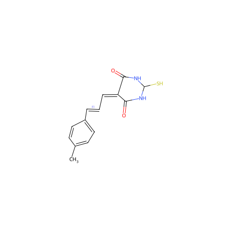 Cc1ccc(/C=C/C=C2C(=O)NC(S)NC2=O)cc1